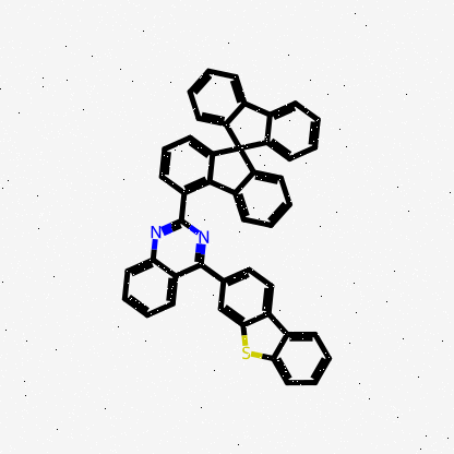 c1ccc2c(c1)-c1ccccc1C21c2ccccc2-c2c(-c3nc(-c4ccc5c(c4)sc4ccccc45)c4ccccc4n3)cccc21